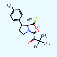 CCC[C@@]1(C(O)=S)C(c2ccc(C(F)(F)F)cc2)CCN1C(=O)C(=O)C(C)(C)CC